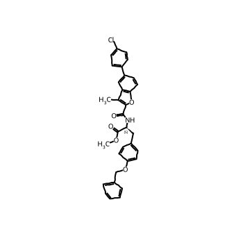 COC(=O)[C@H](Cc1ccc(OCc2ccccc2)cc1)NC(=O)c1oc2ccc(-c3ccc(Cl)cc3)cc2c1C